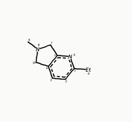 CCc1ccc2c(n1)CN(C)C2